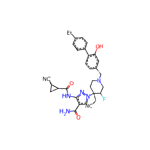 CCc1ccc(-c2ccc(CN3CCC(CC#N)(n4cc(C(N)=O)c(NC(=O)C5CC5C#N)n4)C(F)C3)cc2O)cc1